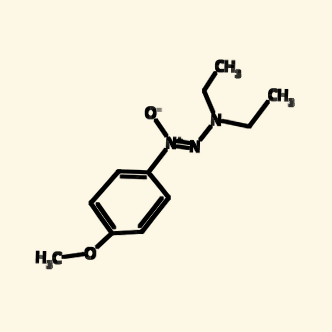 CCN(CC)N=[N+]([O-])c1ccc(OC)cc1